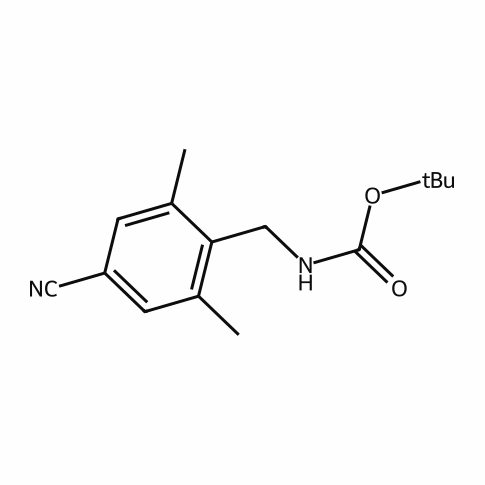 Cc1cc(C#N)cc(C)c1CNC(=O)OC(C)(C)C